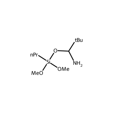 CCC[Si](OC)(OC)OC(N)C(C)(C)C